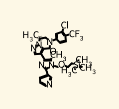 Cc1c(-c2cnn3c2C(=O)N(c2ccc(C(F)(F)F)c(Cl)c2)C[C@@H]3C)nc(-c2cccnc2)n1COCC[Si](C)(C)C